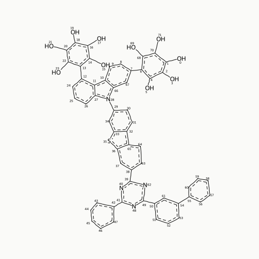 Oc1c(O)c(O)c(-c2ccc3c4c(-c5c(O)c(O)c(O)c(O)c5O)cccc4n(-c4ccc5c(c4)sc4cc(-c6nc(-c7ccccc7)nc(-c7cccc(-c8ccccc8)c7)n6)ccc45)c3c2)c(O)c1O